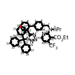 CCCN(Cc1ccc(-c2ccccc2-c2nnnn2C(c2ccccc2)(c2ccccc2)c2ccccc2)cc1)c1nccc(C(F)(F)F)c1C(=O)OCC